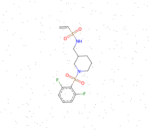 C=CS(=O)(=O)NCC1CCCN(S(=O)(=O)c2c(F)cccc2F)C1